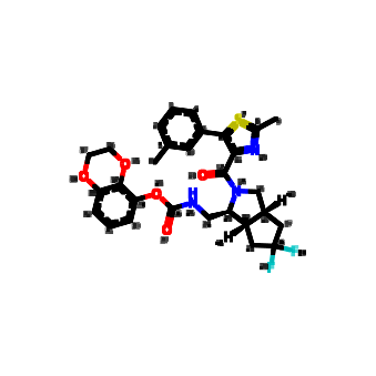 Cc1cccc(-c2sc(C)nc2C(=O)N2C[C@@H]3CC(F)(F)C[C@@H]3[C@H]2CNC(=O)Oc2cccc3c2OCCO3)c1